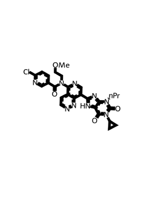 CCCn1c(=O)n(C2CC2)c(=O)c2[nH]c(-c3cnc(N(CCOC)C(=O)c4ccc(Cl)nc4)c4ccnnc34)nc21